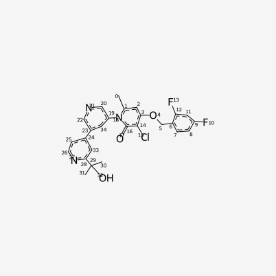 Cc1cc(OCc2ccc(F)cc2F)c(Cl)c(=O)n1-c1cncc(-c2ccnc(C(C)(C)O)c2)c1